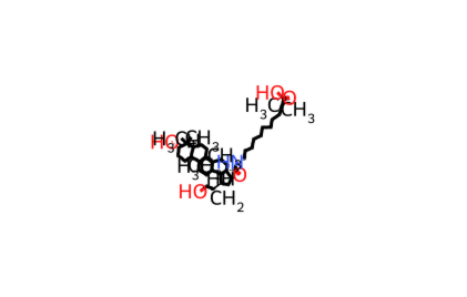 C=C(CO)[C@@H]1CC[C@]2(C(=O)NCCCCCCCCCC(C)(C)C(=O)O)CC[C@]3(C)[C@H](CCC4[C@@]5(C)CC[C@H](O)C(C)(C)[C@@H]5CC[C@]43C)[C@@H]12